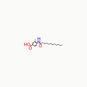 CCCCCCCCCCCC(=O)Nc1ccc(C(=O)O)cc1C